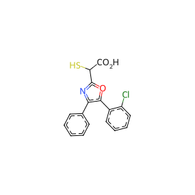 O=C(O)C(S)c1nc(-c2ccccc2)c(-c2ccccc2Cl)o1